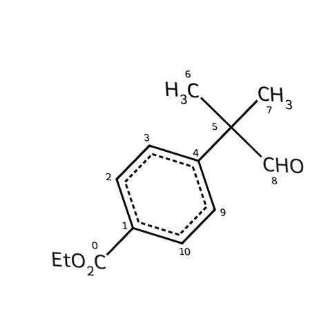 CCOC(=O)c1ccc(C(C)(C)C=O)cc1